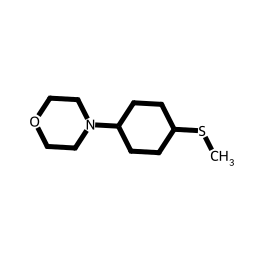 CSC1CCC(N2CCOCC2)CC1